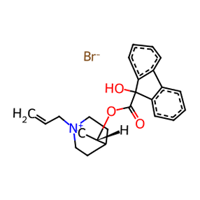 C=CC[N+]12CCC(CC1)[C@@H](OC(=O)C1(O)c3ccccc3-c3ccccc31)C2.[Br-]